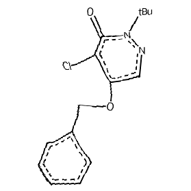 CC(C)(C)n1ncc(OCc2ccccc2)c(Cl)c1=O